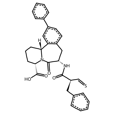 O=C(N[C@H]1Cc2ccc(-c3ccccc3)cc2[C@H]2CCC[C@@H](C(=O)O)N2C1=O)[C@@H](C=S)Cc1ccccc1